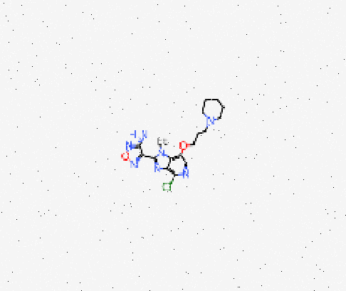 CCn1c(-c2nonc2N)nc2c(Cl)ncc(OCCCN3CCCCC3)c21